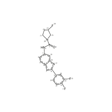 O=C(Nc1ccn2cc(-c3ccc(F)c(F)c3)nc2c1)N1CCC(F)C1